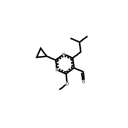 COc1nc(C2CC2)nc(CC(C)C)c1C=O